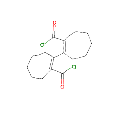 O=C(Cl)C1=C(C2=C(C(=O)Cl)CCCCC2)CCCCC1